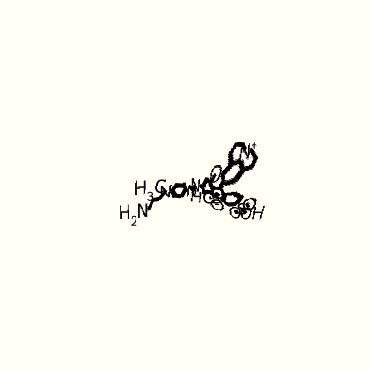 CN(CCCN)c1ccc(/N=N/c2ccc3c(c2)Oc2c4c5c(cc2=C3c2ccc(S(=O)(=O)O)cc2S(=O)(=O)O)CCC[N+]=5CCC4)cc1